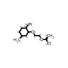 C=C(CC)OCCOC1CC(C)CCC1C(C)C